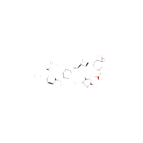 CC(=O)O[C@@H](C)/C=C\C(=O)N[C@@H]1C[C@H](C)[C@H](C/C=C(C)/C=C/[C@H]2O[C@H](CC(=O)ON3C(=O)CCC3=O)C[C@@]3(CO3)[C@H]2O)O[C@@H]1C